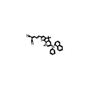 CN1C=C(N(c2ccccc2)c2cccc3ccccc23)C=C2C1c1sc(/C=C/C=C(C#N)C#N)cc1C2(C)C